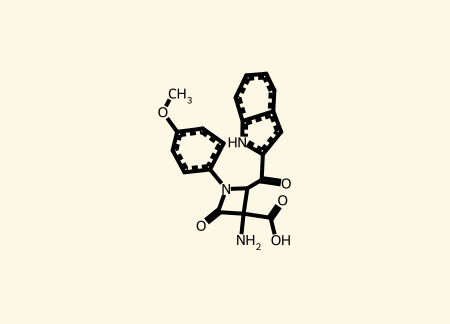 COc1ccc(N2C(=O)C(N)(C(=O)O)C2C(=O)c2cc3ccccc3[nH]2)cc1